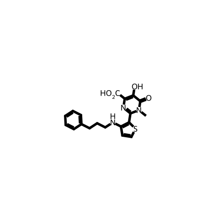 Cn1c(-c2sccc2NCCCc2ccccc2)nc(C(=O)O)c(O)c1=O